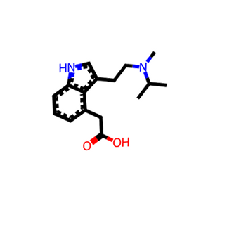 CC(C)N(C)CCc1c[nH]c2cccc(CC(=O)O)c12